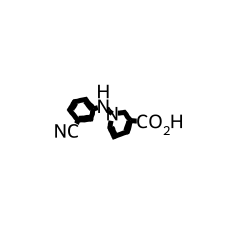 N#Cc1cccc(NN2C=CC=C(C(=O)O)C2)c1